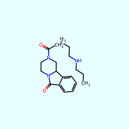 CC(=O)N1CCN2C(=O)c3ccccc3C2C1.CCCNCCC